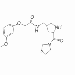 COc1cccc(OCC(=O)NCC2CNC(C(=O)N3CCSC3)C2)c1